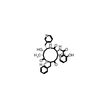 C[C@H]1CC(=O)C(Cc2ccccc2)N(C)C(=O)[C@H](C)[C@H](O)[C@H](Cc2cccnc2)NC(=O)[C@H]1NC(=O)c1ncccc1O